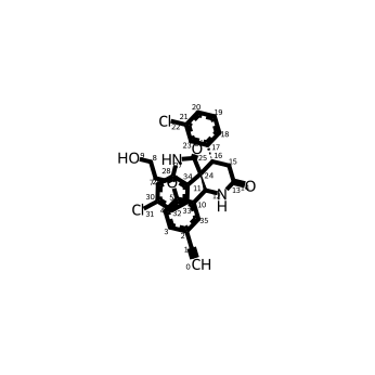 C#Cc1ccc(OCCO)c(C2NC(=O)C[C@@H](c3cccc(Cl)c3)[C@]23C(=O)Nc2cc(Cl)ccc23)c1